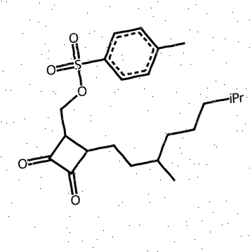 Cc1ccc(S(=O)(=O)OCC2C(=O)C(=O)C2CCC(C)CCCC(C)C)cc1